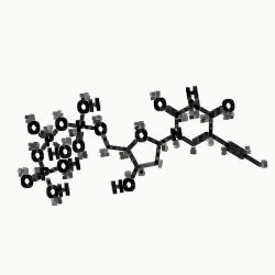 CC#Cc1cn(C2CC(O)C(COP(=O)(O)OP(=O)(O)OP(=O)(O)O)O2)c(=O)[nH]c1=O